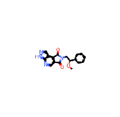 COC(CN1C(=O)c2cnc3[nH]ncc3c2C1=O)c1ccccc1